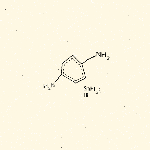 I.Nc1ccc(N)cc1.[SnH2]